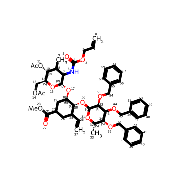 C=CCOC(=O)NC1C(C)[C@@H](OC(C)=O)[C@H](COC(C)=O)O[C@H]1O[C@@H]1CC(C(=O)OC)CC(C=C)[C@H]1OC1O[C@@H](C)[C@H](OCc2ccccc2)C(OCc2ccccc2)[C@@H]1OCc1ccccc1